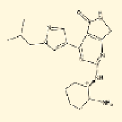 CC(C)Cn1cc(-c2nc(N[C@@H]3CCCCC3N)nc3c2C(=O)NC3)cn1